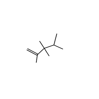 C=C(C)C(C)(C)C(C)C